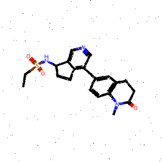 CCS(=O)(=O)NC1CCc2c(-c3ccc4c(c3)CCC(=O)N4C)cncc21